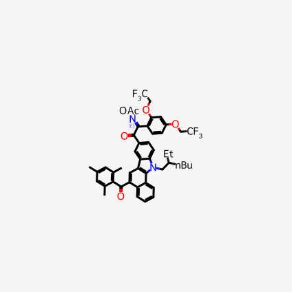 CCCCC(CC)Cn1c2ccc(C(=O)/C(=N/OC(C)=O)c3ccc(OCC(F)(F)F)cc3OCC(F)(F)F)cc2c2cc(C(=O)c3c(C)cc(C)cc3C)c3ccccc3c21